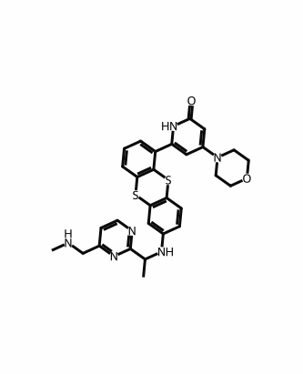 CNCc1ccnc(C(C)Nc2ccc3c(c2)Sc2cccc(-c4cc(N5CCOCC5)cc(=O)[nH]4)c2S3)n1